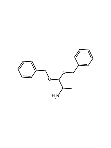 CC(N)C(OCc1ccccc1)OCc1ccccc1